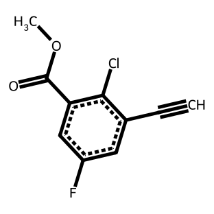 C#Cc1cc(F)cc(C(=O)OC)c1Cl